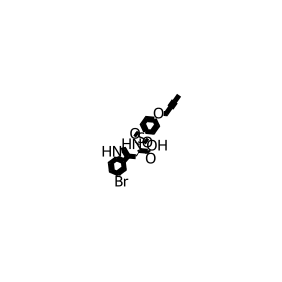 CC#CCOc1ccc(S(=O)(=O)N[C@@H](Cc2c[nH]c3ccc(Br)cc23)C(=O)O)cc1